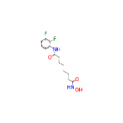 O=C(CCCCCCC(=O)Nc1cccc(F)c1F)NO